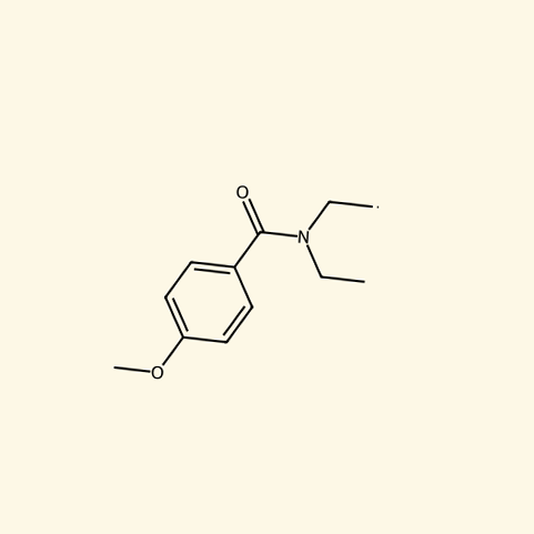 [CH2]CN(CC)C(=O)c1ccc(OC)cc1